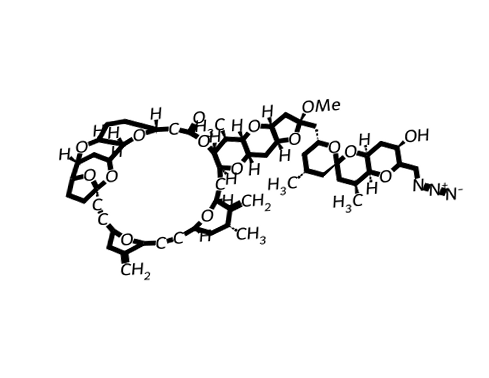 C=C1CC2CC[C@]34CCC(O3)[C@H]3C[C@@H](O4)[C@H]4O[C@H](CC[C@@H]4O3)CC(=O)O[C@@H]3[C@@H](C)[C@@H]4O[C@@H]5C[C@@](C[C@H]6C[C@@H](C)C[C@@]7(C[C@H](C)[C@@H]8OC(CN=[N+]=[N-])[C@H](O)C[C@@H]8O7)O6)(OC)O[C@@H]5C[C@@H]4O[C@H]3C[C@H]3O[C@@H](CCC1O2)C[C@@H](C)C3=C